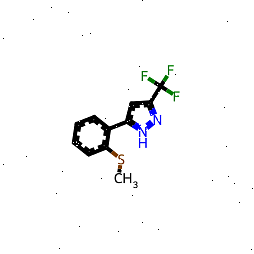 CSc1ccccc1-c1cc(C(F)(F)F)n[nH]1